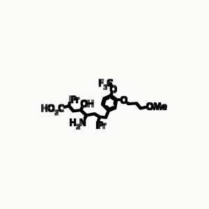 COCCCOc1cc(CC(CC(N)C(O)CC(C(=O)O)C(C)C)C(C)C)ccc1OC(F)(F)F